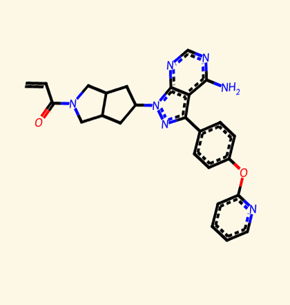 C=CC(=O)N1CC2CC(n3nc(-c4ccc(Oc5ccccn5)cc4)c4c(N)ncnc43)CC2C1